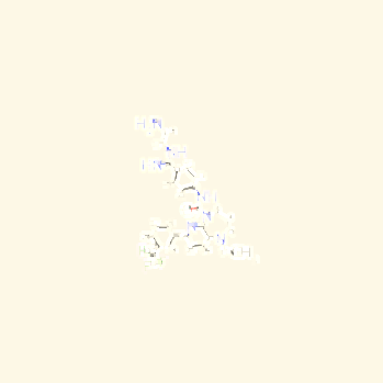 CCN1CCCN(C(=O)Nc2ccc(C(=N)NCCN)cc2)c2nc(-c3cccc(C(F)(F)F)c3)ccc21